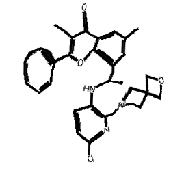 Cc1cc([C@@H](C)Nc2ccc(Cl)nc2N2CC3(COC3)C2)c2oc(-c3ccccc3)c(C)c(=O)c2c1